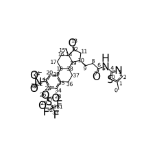 Cc1cnc(NC(=O)CC[C@@H]2CC(=O)[C@@]3(C)CCC4c5cc([N+](=O)[O-])c(OS(=O)(=O)C(F)(F)F)cc5CCC4C23)s1